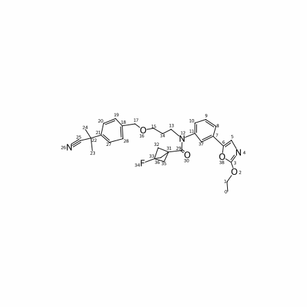 CCOc1ncc(-c2cccc(N(CCCOCc3ccc(C(C)(C)C#N)cc3)C(=O)C34CC(F)(C3)C4)c2)o1